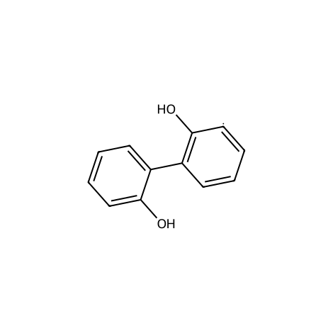 Oc1[c]cccc1-c1ccccc1O